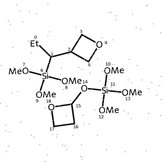 CCC(C1COC1)[Si](OC)(OC)OC.CO[Si](OC)(OC)OC1CCO1